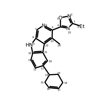 CCc1noc(-c2ncc3[nH]c4ccc(C5CC=CCC5)cc4c3c2C)n1